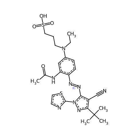 CCN(CCCS(=O)(=O)O)c1ccc(/N=N/c2c(C#N)c(C(C)(C)C)nn2-c2nccs2)c(NC(C)=O)c1